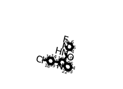 O=C(Nc1cccc(F)n1)c1cc(-c2ccc(Cl)cc2)nc2ccccc12